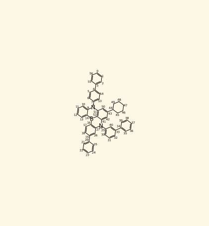 c1ccc(-c2ccc(N3c4ccccc4B4c5ccc(-c6ccccc6)cc5N(c5cccc(-c6ccccc6)c5)c5cc(C6CCCCC6)cc3c54)cc2)cc1